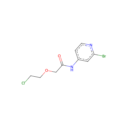 O=C(COCCCl)Nc1ccnc(Br)c1